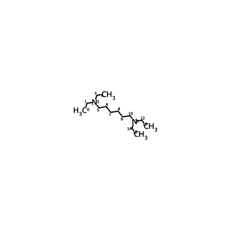 CCN(CC)CCCCCCN(CC)CC